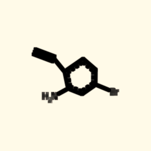 C#Cc1ccc(Br)cc1N